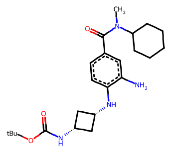 CN(C(=O)c1ccc(N[C@H]2C[C@@H](NC(=O)OC(C)(C)C)C2)c(N)c1)C1CCCCC1